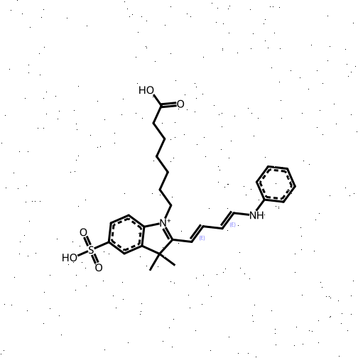 CC1(C)C(/C=C/C=C/Nc2ccccc2)=[N+](CCCCCCC(=O)O)c2ccc(S(=O)(=O)O)cc21